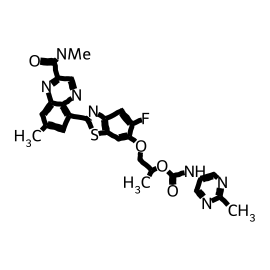 CNC(=O)c1cnc2c(-c3nc4cc(F)c(OCC(C)OC(=O)Nc5cnc(C)nc5)cc4s3)cc(C)cc2n1